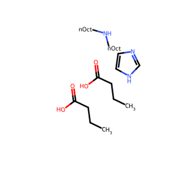 CCCC(=O)O.CCCC(=O)O.CCCCCCCCNCCCCCCCC.c1c[nH]cn1